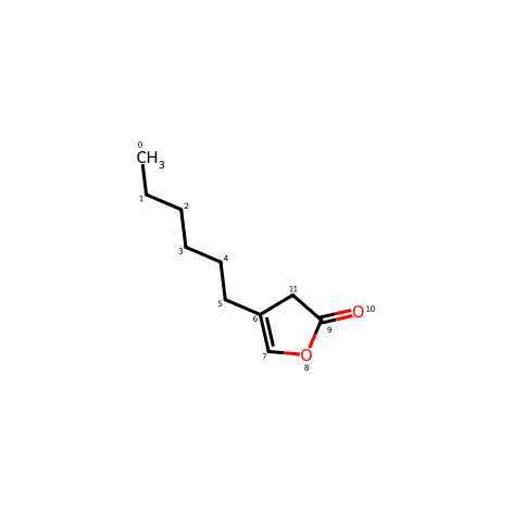 CCCCCCC1=COC(=O)C1